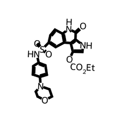 CCOC(=O)Oc1c[nH]c2c(=O)[nH]c3ccc(S(=O)(=O)Nc4ccc(N5CCOCC5)cc4)cc3c12